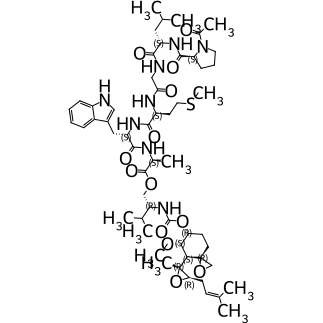 CO[C@@H]1[C@H](OC(=O)N[C@@H](COC(=O)[C@H](C)NC(=O)[C@H](Cc2c[nH]c3ccccc23)NC(=O)[C@H](CCSC)NC(=O)CNC(=O)[C@H](CC(C)C)NC(=O)[C@@H]2CCCN2C(C)=O)C(C)C)CC[C@]2(CO2)[C@H]1[C@@]1(C)O[C@@H]1CC=C(C)C